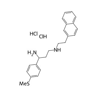 CSc1ccc(C(N)CCNCCc2ccc3ccccc3c2)cc1.Cl.Cl